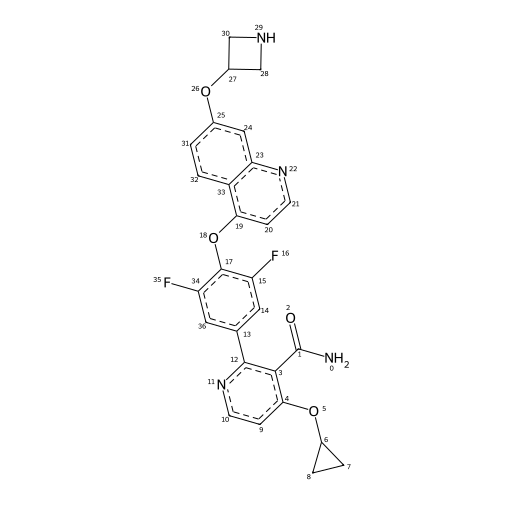 NC(=O)c1c(OC2CC2)ccnc1-c1cc(F)c(Oc2ccnc3cc(OC4CNC4)ccc23)c(F)c1